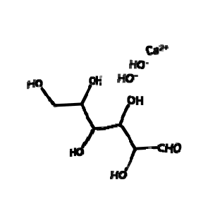 O=CC(O)C(O)C(O)C(O)CO.[Ca+2].[OH-].[OH-]